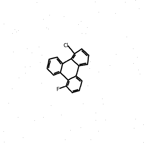 Fc1cccc2c3cccc(Cl)c3c3ccccc3c12